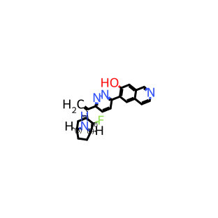 C=C(c1ccc(-c2cc3ccncc3cc2O)nn1)[C@H]1C[C@@H]2CC[C@@H](N2)[C@@H]1F